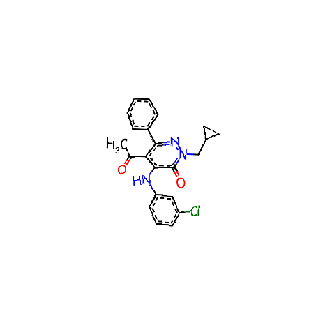 CC(=O)c1c(-c2ccccc2)nn(CC2CC2)c(=O)c1Nc1cccc(Cl)c1